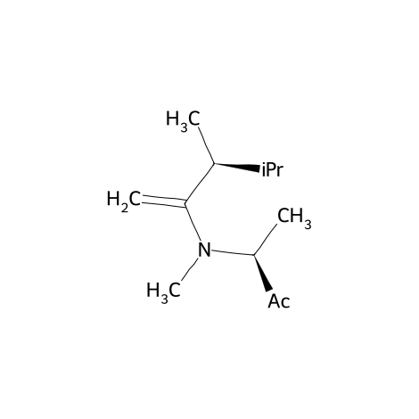 C=C([C@@H](C)C(C)C)N(C)[C@@H](C)C(C)=O